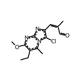 CCc1c(OC)nc2nc(C=C(C)C=O)c(Cl)n2c1C